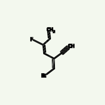 C#CC(/C=C(/F)C=C)=C/CC